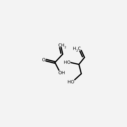 C=CC(=O)O.C=CC(O)CO